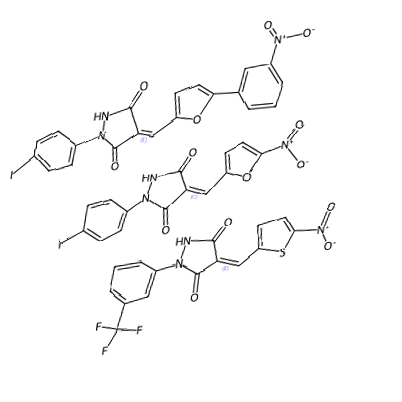 O=C1NN(c2ccc(I)cc2)C(=O)/C1=C/c1ccc(-c2cccc([N+](=O)[O-])c2)o1.O=C1NN(c2ccc(I)cc2)C(=O)/C1=C/c1ccc([N+](=O)[O-])o1.O=C1NN(c2cccc(C(F)(F)F)c2)C(=O)/C1=C/c1ccc([N+](=O)[O-])s1